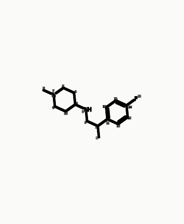 CC(CNC1CCN(C)CC1)c1ccc(F)cc1